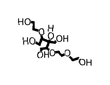 OCCOCCOC(CO)C(O)(CO)C(CO)OCCO